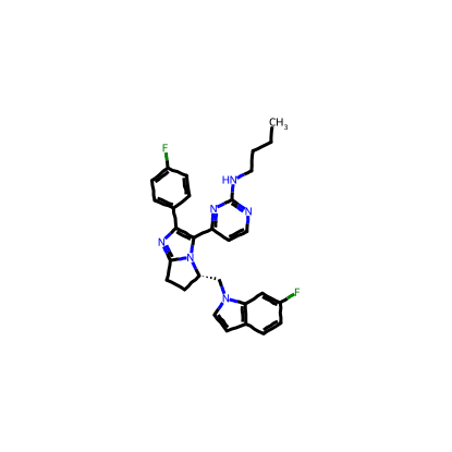 CCCCNc1nccc(-c2c(-c3ccc(F)cc3)nc3n2[C@H](Cn2ccc4ccc(F)cc42)CC3)n1